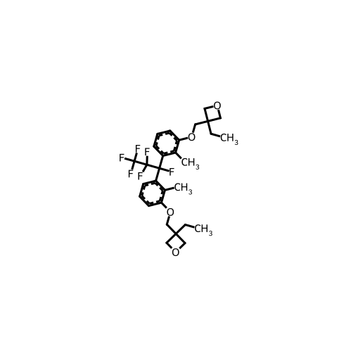 CCC1(COc2cccc(C(F)(c3cccc(OCC4(CC)COC4)c3C)C(F)(F)C(F)(F)F)c2C)COC1